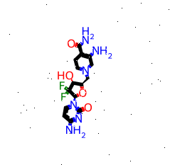 NC(=O)C1=C(N)CN(C[C@H]2O[C@@H](n3ccc(N)nc3=O)C(F)(F)[C@@H]2O)CC1